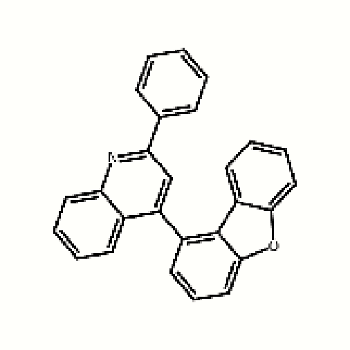 c1ccc(-c2cc(-c3cccc4oc5ccccc5c34)c3ccccc3n2)cc1